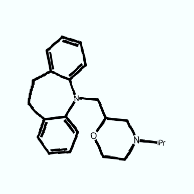 CC(C)N1CCOC(CN2c3ccccc3CCc3ccccc32)C1